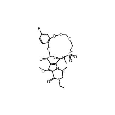 CCN1C[C@H](C)n2c(c(OC)c3c(=O)n4nc(c32)N(C)S(=O)(=O)CCCCCOc2cc(F)ccc2C4)C1=O